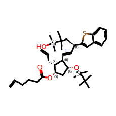 C=CCCCC(=O)O[C@H]1C[C@@H](O[Si](C)(C)C(C)(C)C)[C@H](/C=C/[C@@H](CC(C)(C)[Si](C)(C)O)c2cc3ccccc3s2)[C@H]1CC=C